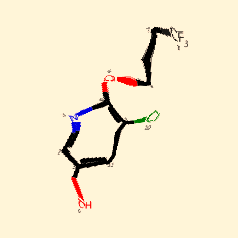 Oc1cnc(OCCC(F)(F)F)c(Cl)c1